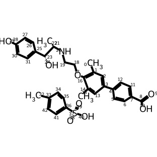 Cc1cc(-c2ccc(C(=O)O)cc2)cc(C)c1OCCN[C@@H](C)[C@H](O)c1ccc(O)cc1.Cc1ccc(S(=O)(=O)O)cc1